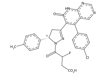 Cc1ccc([C@@H]2CC(c3c(-c4ccc(Cl)cc4)c4cncnc4[nH]c3=O)=NN2C(=O)C(F)CC(=O)O)cc1